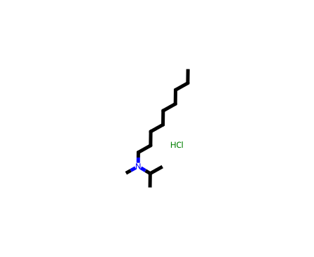 CCCCCCCCCN(C)C(C)C.Cl